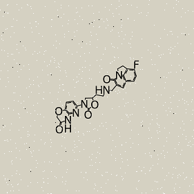 O=C1COc2ccc(N3CC(CCNCc4cc5ccc(F)c6c5n(c4=O)CC6)OC3=O)nc2N1